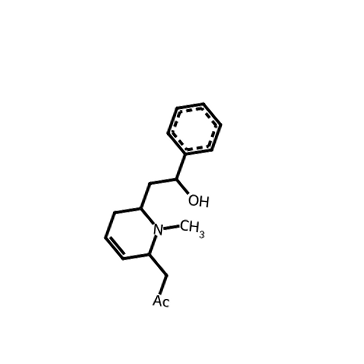 CC(=O)CC1C=CCC(CC(O)c2ccccc2)N1C